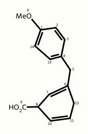 COc1ccc(CC2=CC(C(=O)O)C=CC2)cc1